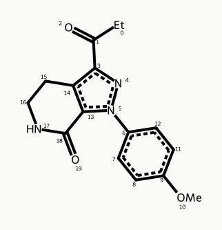 CCC(=O)c1nn(-c2ccc(OC)cc2)c2c1CCNC2=O